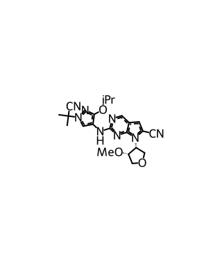 CO[C@H]1COC[C@H]1n1c(C#N)cc2cnc(Nc3cn(C(C)(C)C#N)nc3OC(C)C)nc21